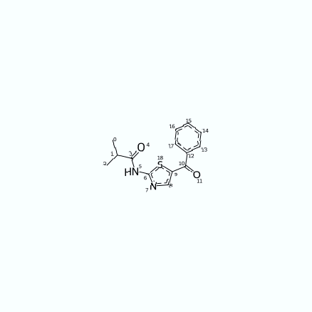 CC(C)C(=O)Nc1ncc(C(=O)c2ccccc2)s1